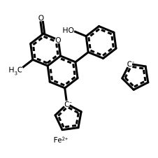 Cc1cc(=O)oc2c(-c3ccccc3O)cc(-[c-]3cccc3)cc12.[Fe+2].c1cc[cH-]c1